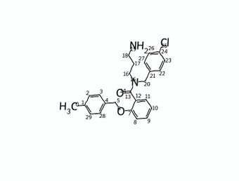 Cc1ccc(COc2ccccc2C(=O)N(CCCN)Cc2ccc(Cl)cc2)cc1